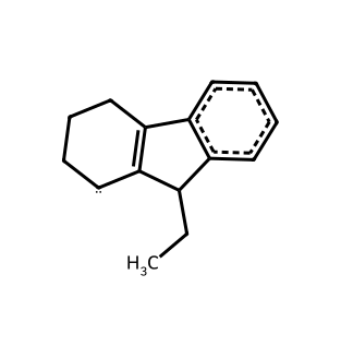 CCC1C2=C(CCC[C]2)c2ccccc21